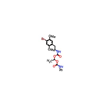 COc1cc(CCNC(=O)OC(C)OC(=O)NC(C)C)c(OC)cc1Br